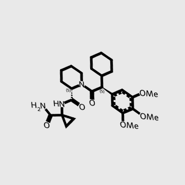 COc1cc([C@@H](C(=O)N2CCCC[C@H]2C(=O)NC2(C(N)=O)CC2)C2CCCCC2)cc(OC)c1OC